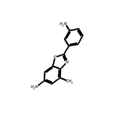 Cc1cc(N)cc2oc(-c3cccc(N)c3)nc12